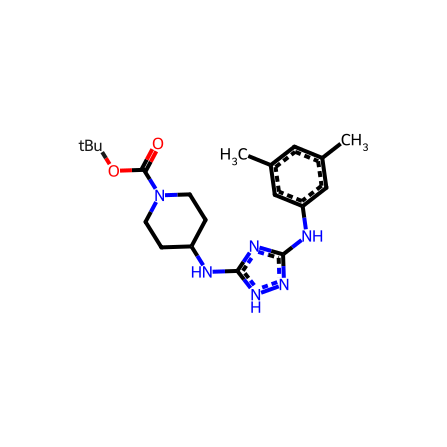 Cc1cc(C)cc(Nc2n[nH]c(NC3CCN(C(=O)OC(C)(C)C)CC3)n2)c1